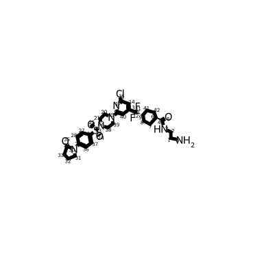 NCCNC(=O)[C@H]1CC[C@H](C(F)(F)c2cc(Cl)nc(N3CCN(S(=O)(=O)c4ccc(N5CCCC5=O)cc4)CC3)c2)CC1